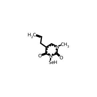 C=CCc1cn(C)c(=O)n([SeH])c1=O